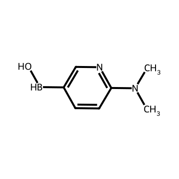 CN(C)c1ccc(BO)cn1